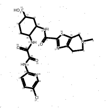 CN1CCc2nc(C(=O)NC3CC(C(=O)O)CCC3NC(=O)C(=O)Nc3ccc(Cl)cn3)sc2C1